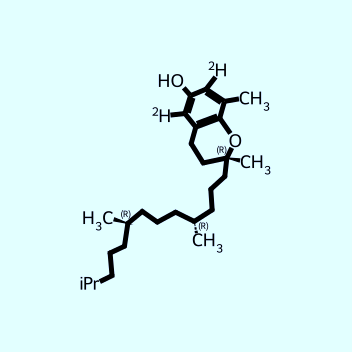 [2H]c1c(C)c2c(c([2H])c1O)CC[C@@](C)(CCC[C@H](C)CCC[C@H](C)CCCC(C)C)O2